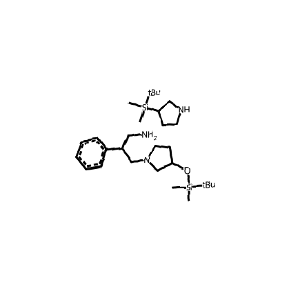 CC(C)(C)[Si](C)(C)C1CCNC1.CC(C)(C)[Si](C)(C)OC1CCN(CC(CN)c2ccccc2)C1